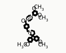 COc1ccc(C2(c3ccc(OC)cc3)CCCN(Cc3ccc(C(=O)N4CCN(c5cc(OC)cc(OC)c5)CC4)cc3)C2)cc1